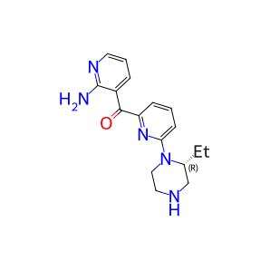 CC[C@@H]1CNCCN1c1cccc(C(=O)c2cccnc2N)n1